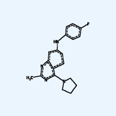 Cc1nc(N2CCCC2)c2ccc(Nc3ccc(F)cc3)cc2n1